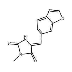 CN1C(=O)/C(=C/c2ccc3ccoc3c2)NC1=S